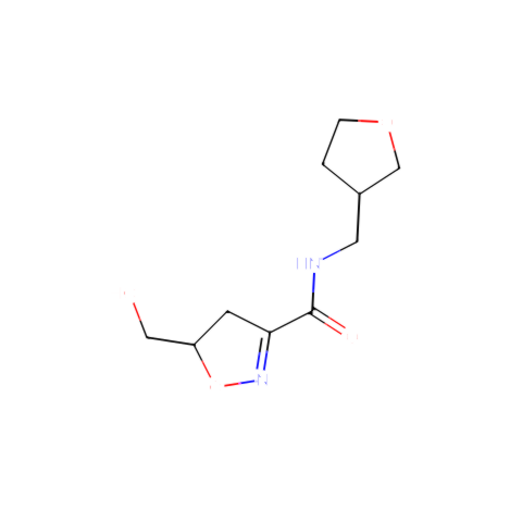 O=C(NCC1CCOC1)C1=NOC(CO)C1